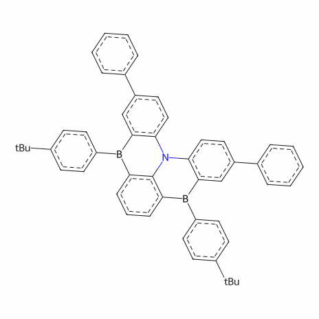 CC(C)(C)c1ccc(B2c3cc(-c4ccccc4)ccc3N3c4ccc(-c5ccccc5)cc4B(c4ccc(C(C)(C)C)cc4)c4cccc2c43)cc1